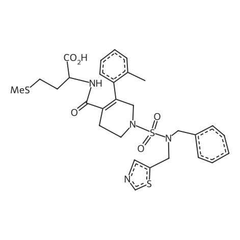 CSCCC(NC(=O)C1=C(c2ccccc2C)CN(S(=O)(=O)N(Cc2ccccc2)Cc2cncs2)CC1)C(=O)O